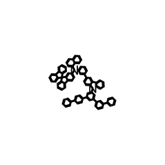 c1ccc(-c2ccc(-c3cc(-c4cccc(-c5ccccc5)c4)cc(-n4c5ccccc5c5cc(-c6cccc(N(c7ccc8c(c7)C7(c9ccccc9-c9ccccc97)c7ccccc7-8)c7cccc8ccccc78)c6)ccc54)c3)cc2)cc1